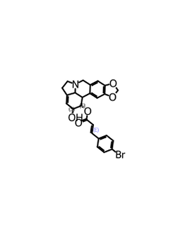 O=C(/C=C/c1ccc(Br)cc1)O[C@H]1C2c3cc4c(cc3CN3CCC(=C[C@@H]1O)C23)OCO4